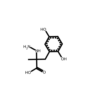 CC(Cc1cc(O)ccc1O)(NN)C(=O)O